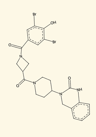 O=C(c1cc(Br)c(O)c(Br)c1)N1CC(C(=O)N2CCC(N3Cc4ccccc4NC3=O)CC2)C1